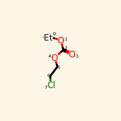 C[CH]OC(=O)OCCCl